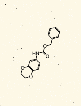 O=C(Nc1ccc2c(c1)OCCO2)OCc1ccccc1